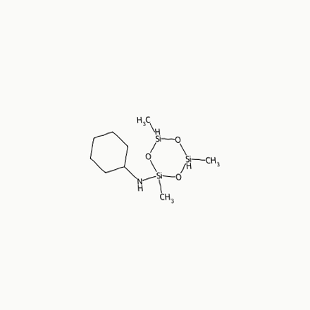 C[SiH]1O[SiH](C)O[Si](C)(NC2CCCCC2)O1